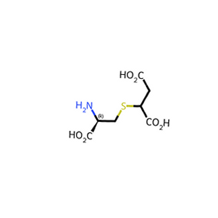 N[C@@H](CSC(CC(=O)O)C(=O)O)C(=O)O